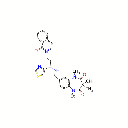 CCN1C(=O)C(C)(C)C(=O)N(C)c2cc(CNC(CCn3ccc4ccccc4c3=O)c3cscn3)ccc21